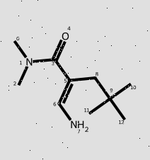 CN(C)C(=O)C(=CN)CC(C)(C)C